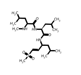 CNC(CC(C)C)C(=O)N[C@@H](CC(C)C)C(=O)NC(/C=C/S(C)(=O)=O)CC(C)C